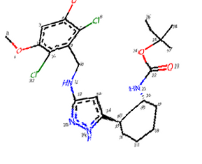 COc1cc(OC)c(Cl)c(CNc2cc([C@@H]3CCCC[C@H]3NC(=O)OC(C)(C)C)[nH]n2)c1Cl